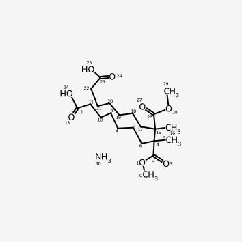 COC(=O)C(C)(CCCCCCC(=O)O)C(C)(CCCCCCC(=O)O)C(=O)OC.N